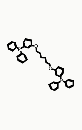 c1ccc(P(c2ccccc2)c2cccc(OCCCCCCOc3cccc(P(c4ccccc4)c4ccccc4)c3)c2)cc1